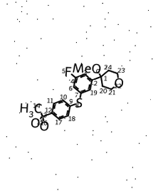 COC1(c2cc(F)cc(Sc3ccc(C4(C)OO4)cc3)c2)CCOCC1